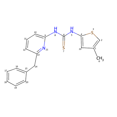 Cc1csc(NC(=S)Nc2cccc(Cc3ccccc3)n2)c1